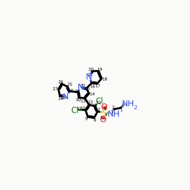 NCCNS(=O)(=O)c1ccc(Cl)c(-c2cc(-c3ccccn3)nc(-c3ccccn3)c2)c1Cl